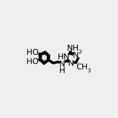 CC1CN=C(N)NC(NCCc2ccc(O)c(O)c2)=N1